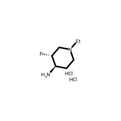 CCN1CC[C@@H](N)[C@H](F)C1.Cl.Cl